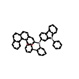 c1ccc(-c2ccccc2N(c2ccc3c(ccc4ccc5ccccc5c43)c2)c2ccc3c4ccccc4n(-c4ccccc4)c3c2)cc1